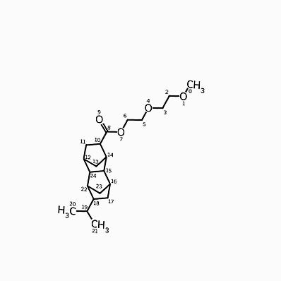 COCCOCCOC(=O)C1CC2CC1C1C3CC(C(C)C)C(C3)C21